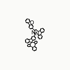 c1ccc(-c2ccccc2-c2cc(-c3ccc4c(c3)oc3ccccc34)nc(-c3ccc4c(c3)-c3ccccc3C43c4ccccc4-c4ccccc4-c4ccccc43)n2)cc1